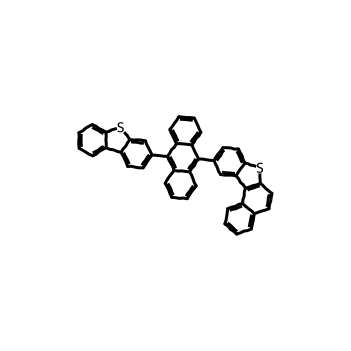 c1ccc2c(c1)ccc1sc3ccc(-c4c5ccccc5c(-c5ccc6c(c5)sc5ccccc56)c5ccccc45)cc3c12